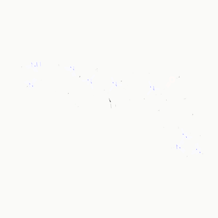 CC[C@H]1CN(c2ncc(-c3ncc[nH]3)cc2Cl)CCN1C1CCN(C(=O)c2ccc(-n3cncn3)cc2)CC1